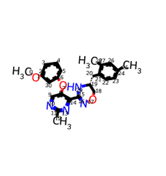 COc1cccc(Oc2cnc(C)nc2C2=NOC[C@@H](Cc3ccc(C)cc3C)N2)c1